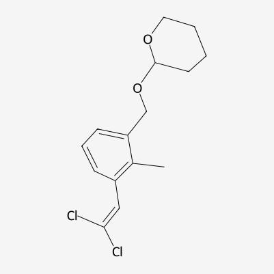 Cc1c(C=C(Cl)Cl)cccc1COC1CCCCO1